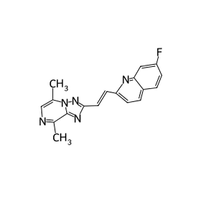 Cc1ncc(C)n2nc(/C=C/c3ccc4ccc(F)cc4n3)nc12